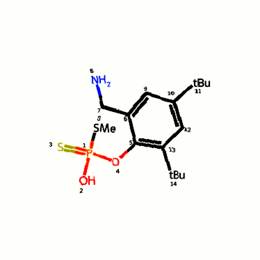 CSP(O)(=S)Oc1c(CN)cc(C(C)(C)C)cc1C(C)(C)C